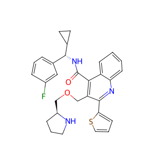 O=C(N[C@H](c1cccc(F)c1)C1CC1)c1c(COC[C@@H]2CCCN2)c(-c2cccs2)nc2ccccc12